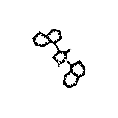 O=c1c(-c2cccc3ccccc23)c[nH]n1-c1cccc2ccccc12